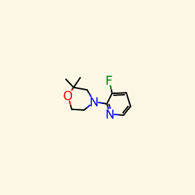 CC1(C)CN(c2ncccc2F)CCO1